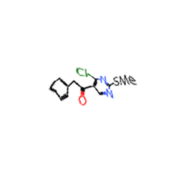 CSc1ncc(C(=O)CC2=CCCC=C2)c(Cl)n1